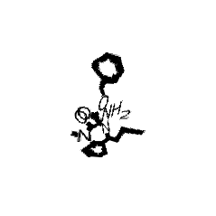 CCCC1=NC(N)(C(=O)OCc2ccccc2)C(=O)N(C)c2ccccc21